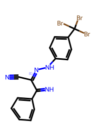 N#C/C(=N/Nc1ccc(C(Br)(Br)Br)cc1)C(=N)c1ccccc1